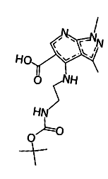 Cc1nn(C)c2ncc(C(=O)O)c(NCCNC(=O)OC(C)(C)C)c12